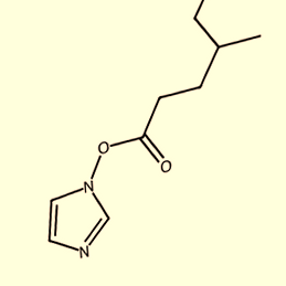 CC(C)CC(C)CCC(=O)On1ccnc1